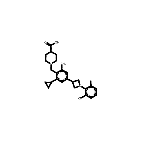 Cc1cc(C2CN(c3c(Cl)cccc3Cl)C2)cc(C2CC2)c1CN1CCC(C(=O)O)CC1